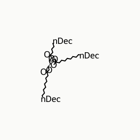 CCCCCCCCCCCCCCCCCCC(=O)OC[C@@H](COC(=O)CCCCCCCCCCCCCC)OC(=O)CCCCCCCCCCCCCCCCCC